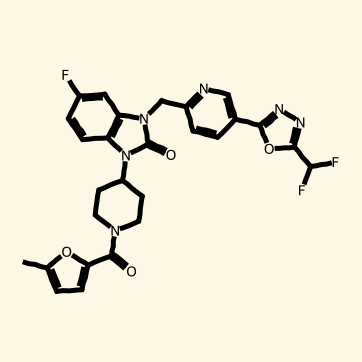 Cc1ccc(C(=O)N2CCC(n3c(=O)n(Cc4ccc(-c5nnc(C(F)F)o5)cn4)c4cc(F)ccc43)CC2)o1